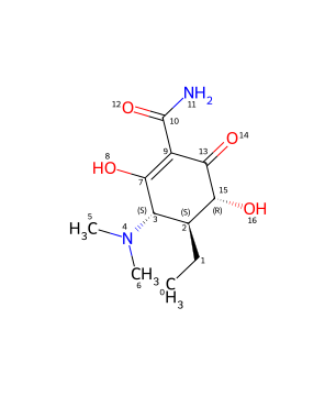 CC[C@H]1[C@H](N(C)C)C(O)=C(C(N)=O)C(=O)[C@@H]1O